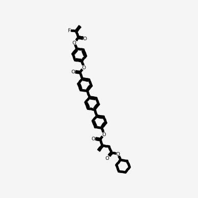 C=C(F)C(=O)Oc1ccc(OC(=O)c2ccc(-c3ccc(-c4ccc(OC(=O)C(=C)CC(=O)OC5CCCCC5)cc4)cc3)cc2)cc1